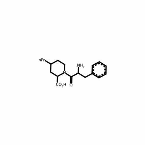 CCCC1CCN(C(=O)C(N)Cc2ccccc2)C(C(=O)O)C1